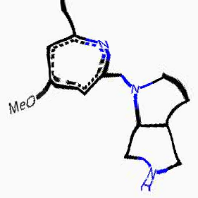 COc1cc(C)nc(N2CCC3CNCC32)c1